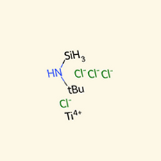 CC(C)(C)N[SiH3].[Cl-].[Cl-].[Cl-].[Cl-].[Ti+4]